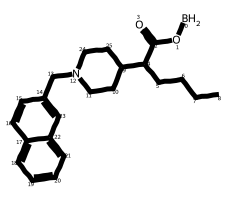 BOC(=O)C(CCCC)C1CCN(Cc2ccc3ccccc3c2)CC1